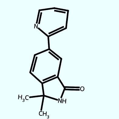 CC1(C)NC(=O)c2cc(-c3ccccn3)ccc21